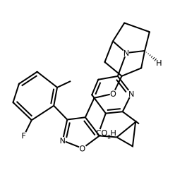 Cc1cccc(F)c1-c1noc(C2CC2)c1COC1CC2CC[C@@H](C1)N2c1ccc(C(=O)O)c(C)n1